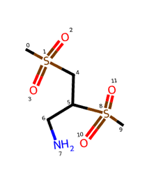 CS(=O)(=O)CC(CN)S(C)(=O)=O